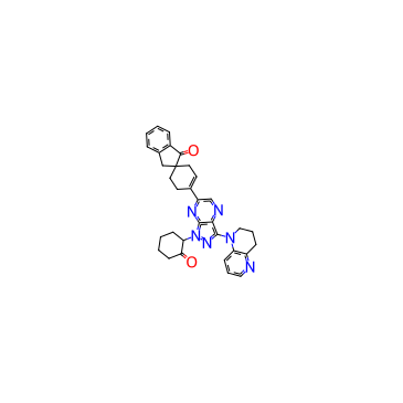 O=C1CCCCC1n1nc(N2CCCc3ncccc32)c2ncc(C3=CCC4(CC3)Cc3ccccc3C4=O)nc21